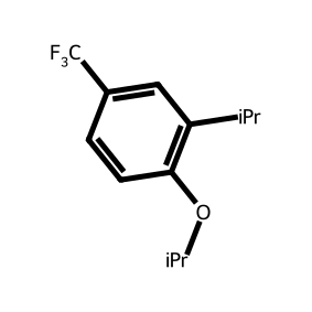 CC(C)Oc1ccc(C(F)(F)F)cc1C(C)C